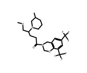 COCC(CCC(=O)N1COc2c(cc(C(F)(F)F)cc2C(F)(F)F)C1)N1CCCC(C)C1